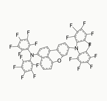 Fc1c(F)c(F)c(N(c2ccc3c(c2)Oc2cccc4c(N(c5c(F)c(F)c(F)c(F)c5F)c5c(F)c(F)c(F)c(F)c5F)ccc-3c24)c2c(F)c(F)c(F)c(F)c2F)c(F)c1F